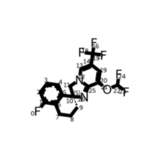 Fc1cccc2c1CCC[C@@]21CN2C=C(C(F)(F)F)C=C(OC(F)F)C2=N1